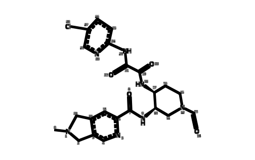 CN1Cc2cnc(C(=O)N[C@@H]3CN(C=O)CC[C@@H]3NC(=O)C(=O)Nc3ccc(Cl)cn3)cc2C1